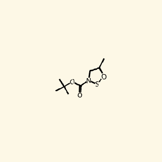 CC1CN(C(=O)OC(C)(C)C)SO1